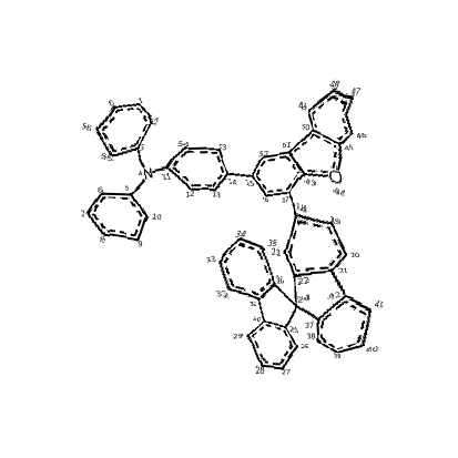 c1ccc(N(c2ccccc2)c2ccc(-c3cc(-c4ccc5c(c4)C4(c6ccccc6-c6ccccc64)c4ccccc4-5)c4oc5ccccc5c4c3)cc2)cc1